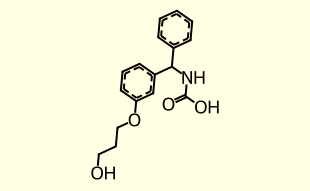 O=C(O)NC(c1ccccc1)c1cccc(OCCCO)c1